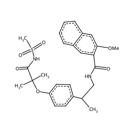 COc1cc2ccccc2cc1C(=O)NCC(C)c1ccc(OC(C)(C)C(=O)NS(C)(=O)=O)cc1